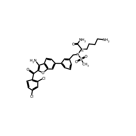 CS(=O)(=O)N(Cc1cccc(-c2ccc3c(N)c(C(=O)c4ccc(Cl)cc4Cl)oc3c2)c1)[C@H](CCCCN)C(N)=O